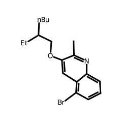 CCCCC(CC)COc1cc2c(Br)cccc2nc1C